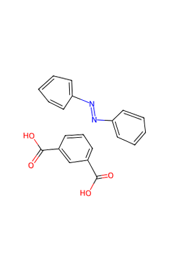 O=C(O)c1cccc(C(=O)O)c1.c1ccc(N=Nc2ccccc2)cc1